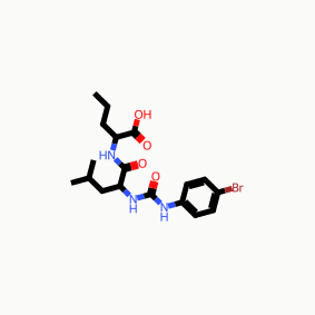 CCCC(NC(=O)C(CC(C)C)NC(=O)Nc1ccc(Br)cc1)C(=O)O